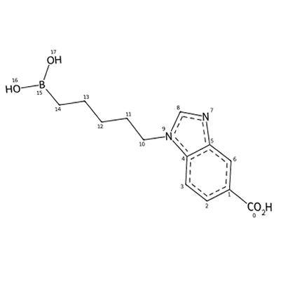 O=C(O)c1ccc2c(c1)ncn2CCCCCB(O)O